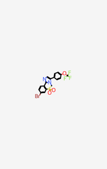 O=S1(=O)Cn2c(-c3ccc(OC(F)(F)F)cc3)cnc2-c2ccc(Br)cc21